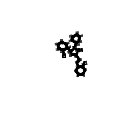 Clc1ccccc1C=CC1=CC(c2ccccc2Cl)N(c2ccccc2)N1